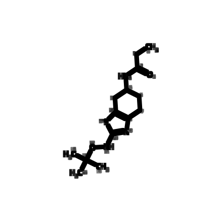 CCC(=O)NC1CCc2nc(NOC(C)(C)C)sc2C1